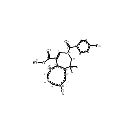 CC(C)OC(=O)C1=CN(C(=O)c2ccc(F)cc2)CC(C)(C)c2ccc(Cl)cnc[nH]c21